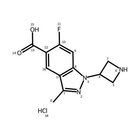 Cc1nn(C2CNC2)c2cc(F)c(C(=O)O)cc12.Cl